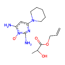 C=CCOC(=O)C(C)O.Nc1cc(N2CCCCC2)nc(N)[n+]1[O-]